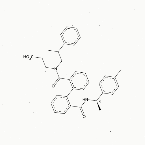 Cc1ccc([C@@H](C)NC(=O)c2ccccc2-c2ccccc2C(=O)N(CCC(=O)O)CC(C)c2ccccc2)cc1